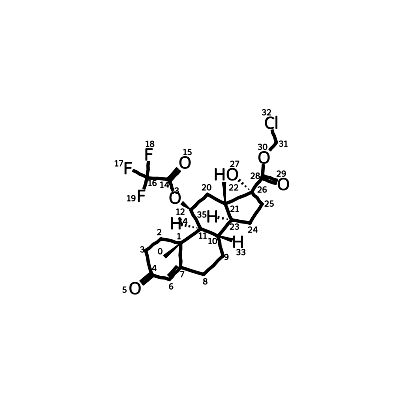 C[C@]12CCC(=O)C=C1CC[C@@H]1[C@@H]2[C@@H](OC(=O)C(F)(F)F)C[C@@]2(C)[C@H]1CC[C@]2(O)C(=O)OCCl